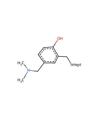 CCCCCCCCc1cc(CN(C)C)ccc1O